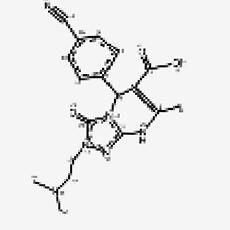 CC1=C(C(=O)O)C(c2ccc(C#N)cc2)n2c(nn(CCN(C)C)c2=O)N1